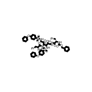 CC(C)C[C@H](NC(=O)OCc1ccccc1)C(=O)NCC(O)C(NS(=O)(=O)c1ccc(Oc2ccccc2)cc1)C(NC(=O)[C@@H](N)CC(C)C)C(O)CNS(=O)(=O)c1ccc(Oc2ccccc2)cc1